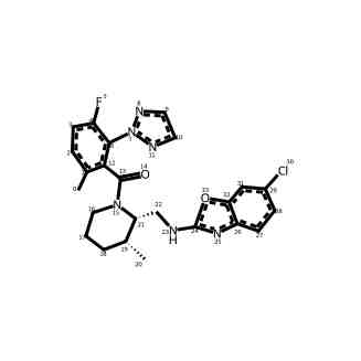 Cc1ccc(F)c(-n2nccn2)c1C(=O)N1CCC[C@@H](C)[C@H]1CNc1nc2ccc(Cl)cc2o1